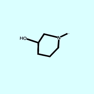 [CH2]N1CCCC(O)C1